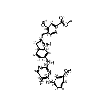 COC(=O)c1ccc(CN2Cc3ccc(Nc4ncc(F)c(Nc5cccc(O)c5)n4)cc3N2)c(OC)c1